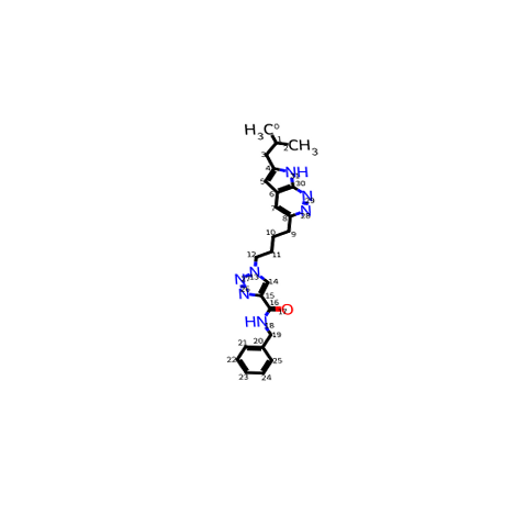 CC(C)Cc1cc2cc(CCCCn3cc(C(=O)NCc4ccccc4)nn3)nnc2[nH]1